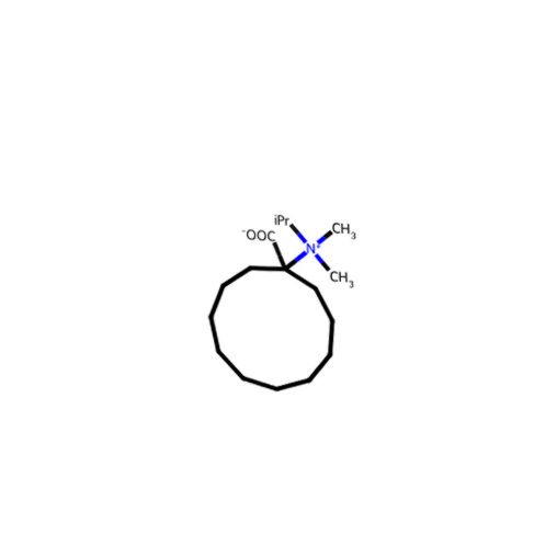 CC(C)[N+](C)(C)C1(C(=O)[O-])CCCCCCCCCC1